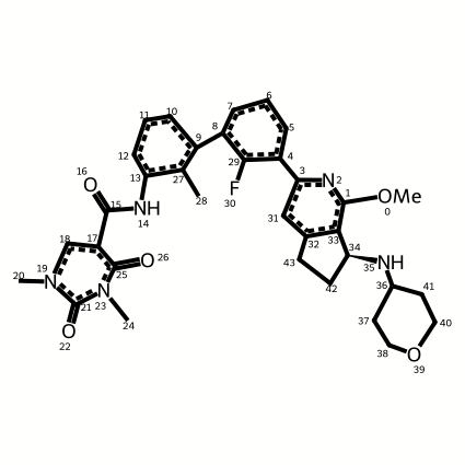 COc1nc(-c2cccc(-c3cccc(NC(=O)c4cn(C)c(=O)n(C)c4=O)c3C)c2F)cc2c1[C@@H](NC1CCOCC1)CC2